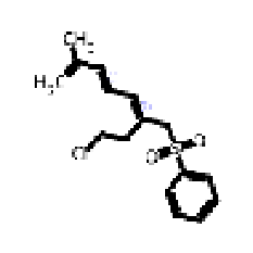 C=C(C)/C=C/C=C(\CCCl)CS(=O)(=O)c1ccccc1